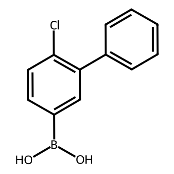 OB(O)c1ccc(Cl)c(-c2ccccc2)c1